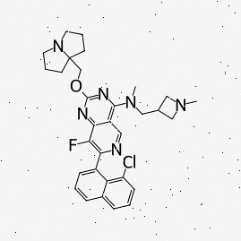 CN1CC(CN(C)c2nc(OCC34CCCN3CCC4)nc3c(F)c(-c4cccc5cccc(Cl)c45)ncc23)C1